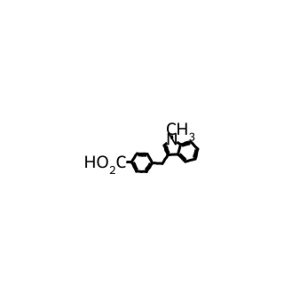 Cn1cc(Cc2ccc(C(=O)O)cc2)c2ccccc21